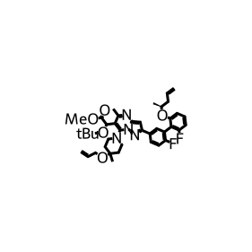 C=CCOC1(C)CCN(c2c(C(OC(C)(C)C)C(=O)OC)c(C)nc3cc(-c4ccc(F)c(-c5c(F)cccc5O[C@@H](C)CC=C)c4)nn23)CC1